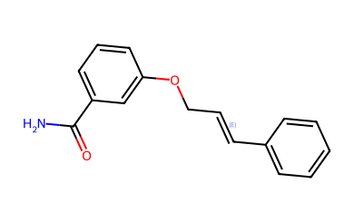 NC(=O)c1cccc(OC/C=C/c2ccccc2)c1